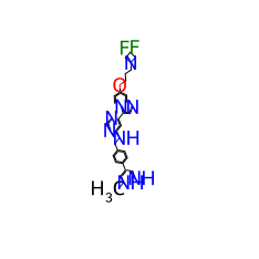 CN/C=C(\C=N)c1ccc(CNc2cc(-c3cnc4cc(OCCCN5CC(F)(F)C5)ccn34)ncn2)cc1